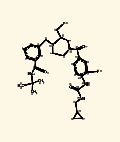 CC(C)(C)NC(=O)c1cccc(CN2CCN(C(=O)c3ccc(NC(=O)NCC4CC4)c(F)c3)CC2CF)c1